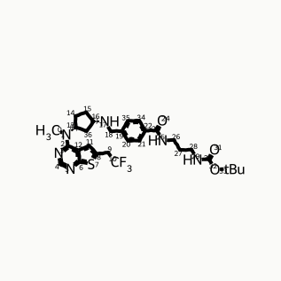 CN(c1ncnc2sc(CC(F)(F)F)cc12)[C@@H]1CC[C@H](NCc2ccc(C(=O)NCCCNC(=O)OC(C)(C)C)cc2)C1